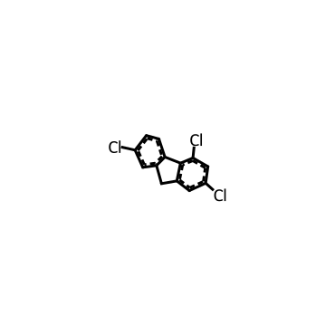 Clc1ccc2c(c1)Cc1cc(Cl)cc(Cl)c1-2